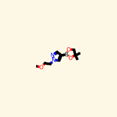 COCCn1cc(B2OCC(C)(C)O2)cn1